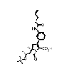 C=CCOC(=O)Nc1cccc(C2=C(C(=O)O)N3C(=O)[C@H]([C@@H](C)O[Si](C)(C)C)[C@H]3C2)c1